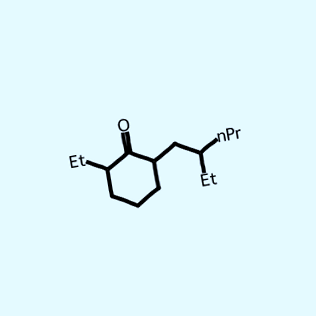 CCCC(CC)CC1CCCC(CC)C1=O